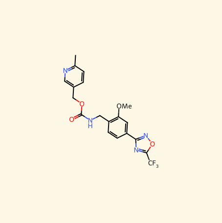 COc1cc(-c2noc(C(F)(F)F)n2)ccc1CNC(=O)OCc1ccc(C)nc1